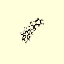 CN(C[C@H]1OC[C@]2(CN)OC(C)(C)O[C@H]12)C(=O)c1ccccc1